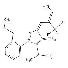 C=c1/c(=C\C(=C/N)C(F)(F)F)nc(-c2ccccc2SCC)n1C(C)C